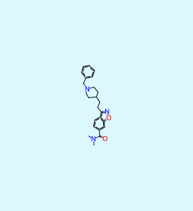 CN(C)C(=O)c1ccc2c(CCC3CCN(Cc4ccccc4)CC3)noc2c1